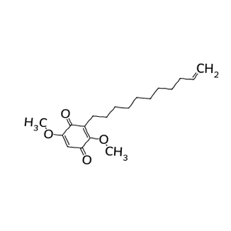 C=CCCCCCCCCCC1=C(OC)C(=O)C=C(OC)C1=O